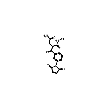 NC(=O)CC(C(=O)NO)C(=O)c1cccc(N2C(=O)C=CC2=O)c1